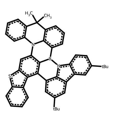 CC(C)(C)c1ccc2c(c1)c1cc(C(C)(C)C)cc3c1n2B1c2cccc4c2N(c2ccccc2C4(C)C)c2cc4sc5ccccc5c4c-3c21